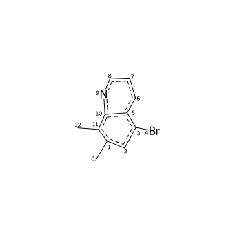 Cc1cc(Br)c2cccnc2c1C